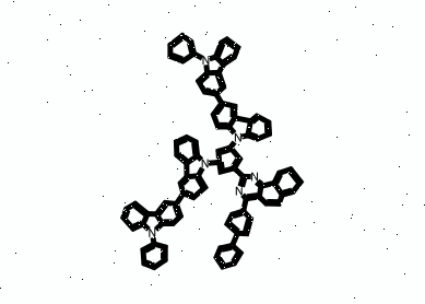 c1ccc(-c2ccc(-c3nc(-c4cc(-n5c6ccccc6c6cc(-c7ccc8c(c7)c7ccccc7n8-c7ccccc7)ccc65)cc(-n5c6ccccc6c6cc(-c7ccc8c(c7)c7ccccc7n8-c7ccccc7)ccc65)c4)nc4c3ccc3ccccc34)cc2)cc1